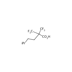 CC(C)CCC(C(=O)O)(C(F)(F)F)C(F)(F)F